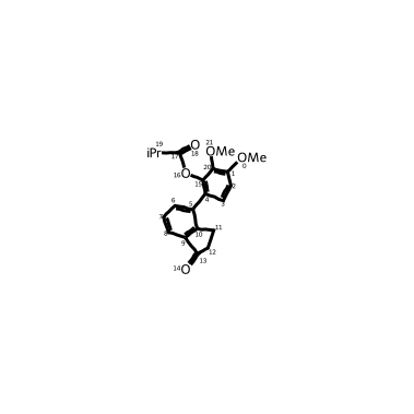 COc1ccc(-c2cccc3c2CCC3=O)c(OC(=O)C(C)C)c1OC